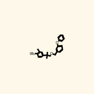 Cc1cc(C(C)(C)COCc2cccc(Oc3ccccc3)c2)ccc1C(C)(C)C